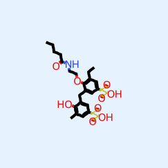 CCCCC(=O)NCCOc1c(CC)cc(S(=O)(=O)O)cc1Cc1cc(S(=O)(=O)O)cc(C)c1O